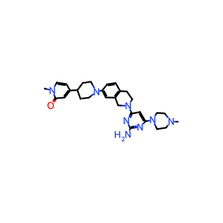 CN1CCN(c2cc(N3CCc4ccc(N5CCC(c6ccn(C)c(=O)c6)CC5)cc4C3)nc(N)n2)CC1